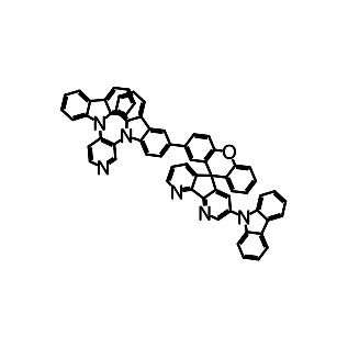 c1ccc2c(c1)Oc1ccc(-c3ccc4c(c3)c3ccccc3n4-c3cnccc3-n3c4ccccc4c4ccccc43)cc1C21c2cccnc2-c2ncc(-n3c4ccccc4c4ccccc43)cc21